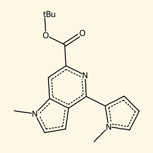 Cn1cccc1-c1nc(C(=O)OC(C)(C)C)cc2c1ccn2C